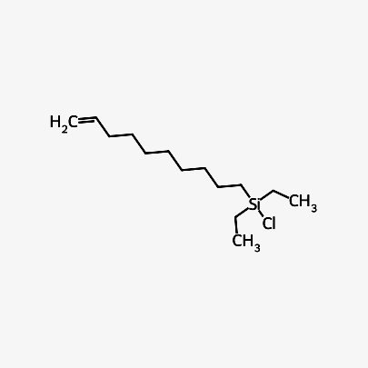 C=CCCCCCCCC[Si](Cl)(CC)CC